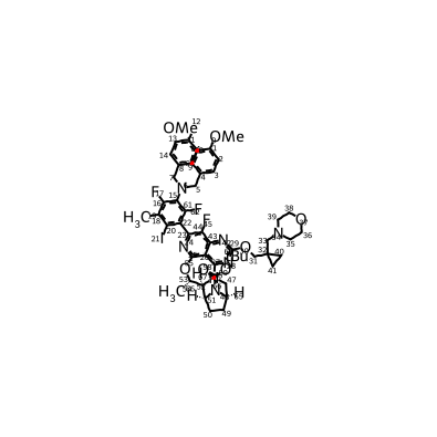 COc1ccc(CN(Cc2ccc(OC)cc2)c2c(F)c(C)c(I)c(-c3nc4c5c(nc(OCC6(CN7CCOCC7)CC6)nc5c3F)N3C[C@H]5CC[C@@H]([C@H]3[C@H](C)O4)N5C(=O)OC(C)(C)C)c2F)cc1